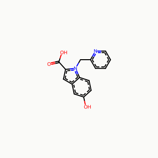 O=C(O)c1cc2cc(O)ccc2n1Cc1ccccn1